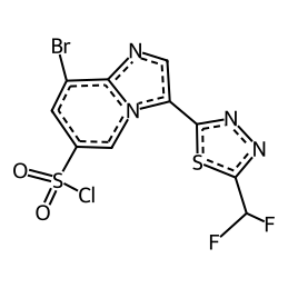 O=S(=O)(Cl)c1cc(Br)c2ncc(-c3nnc(C(F)F)s3)n2c1